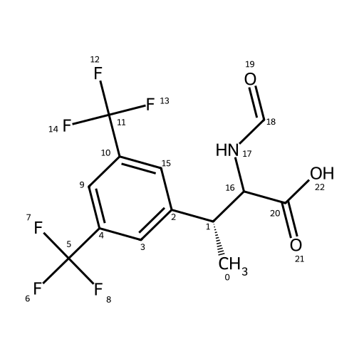 C[C@H](c1cc(C(F)(F)F)cc(C(F)(F)F)c1)C(NC=O)C(=O)O